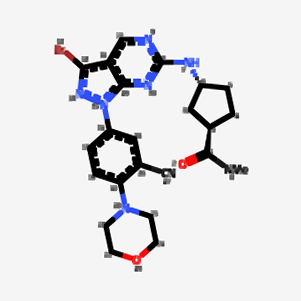 CNC(=O)[C@@H]1CC[C@@H](Nc2ncc3c(Br)nn(-c4ccc(N5CCOCC5)c(C#N)c4)c3n2)C1